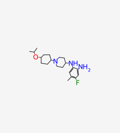 Cc1cc(NC2CCN(C3CCC(OC(C)C)CC3)CC2)c(N)cc1F